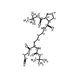 CC(C)(C)OC(=O)NC(CCCCNC(=O)C1CSCN1C(=O)OC(C)(C)C)C(=O)OCC#N